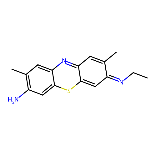 CC/N=c1/cc2sc3cc(N)c(C)cc3nc-2cc1C